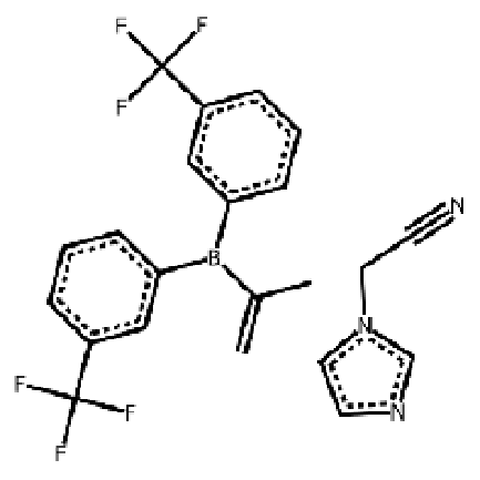 C=C(C)B(c1cccc(C(F)(F)F)c1)c1cccc(C(F)(F)F)c1.N#CCn1ccnc1